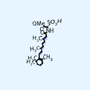 COC(=O)[C@H](CS(=O)(=O)O)NC(=O)/C=C(C)/C=C/C=C(C)/C=C/C1=C(C)CCCC1(C)C